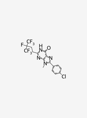 Cn1c(-c2ccc(Cl)cc2)nc2c(=O)[nH]c(CCC(F)(C(F)(F)F)C(F)(F)F)nc21